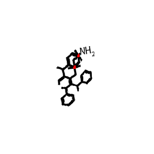 C/C=C(\C(CC(C)(C)CC(C)(C)N)=C(C(C)c1ccccc1)C(C)c1ccccc1)C(C)c1ccccc1